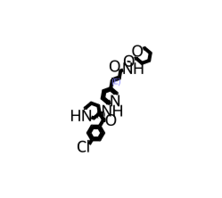 O=C(/C=C/c1ccc(N[C@]2(C(=O)c3ccc(Cl)cc3)CCCNC2)nc1)NOC1CCCCO1